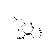 C=C(/C=C/C)/N=C1/C=CC=C/C1=C(/N)NC